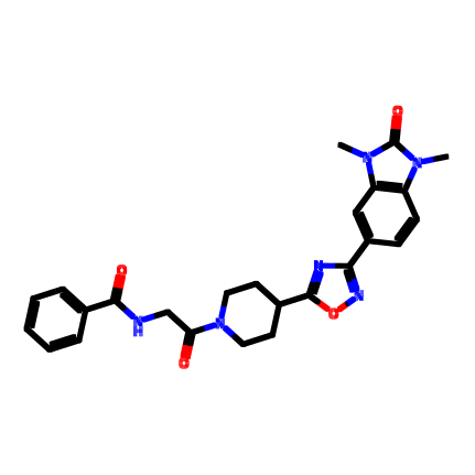 Cn1c(=O)n(C)c2cc(-c3noc(C4CCN(C(=O)CNC(=O)c5ccccc5)CC4)n3)ccc21